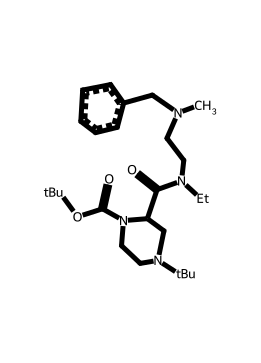 CCN(CCN(C)Cc1ccccc1)C(=O)C1CN(C(C)(C)C)CCN1C(=O)OC(C)(C)C